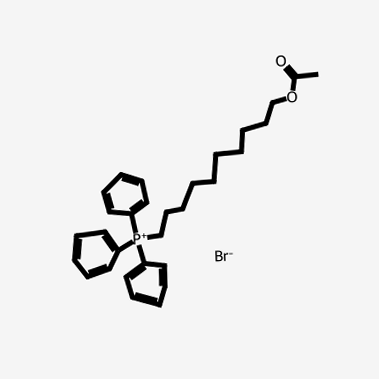 CC(=O)OCCCCCCCCCC[P+](c1ccccc1)(c1ccccc1)c1ccccc1.[Br-]